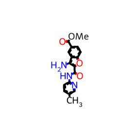 COC(=O)c1ccc2oc(C(=O)Nc3ccc(C)cn3)c(N)c2c1